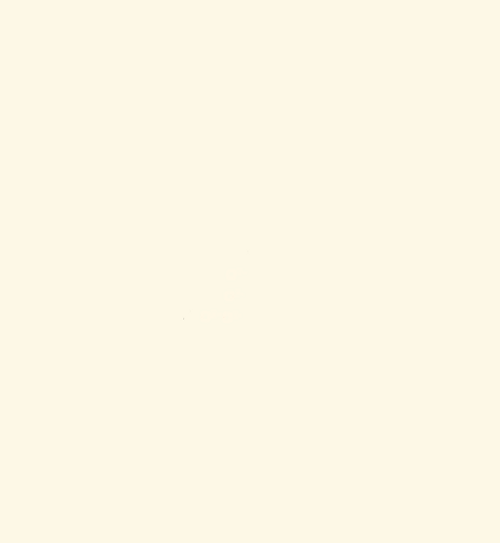 [O-2].[O-2].[O-2].[O-2].[Tb+3].[V+5]